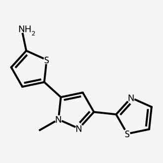 Cn1nc(-c2nccs2)cc1-c1ccc(N)s1